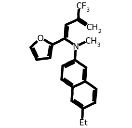 C=C(/C=C(/c1ccco1)N(C)c1ccc2cc(CC)ccc2c1)C(F)(F)F